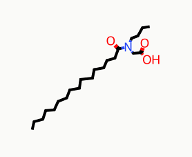 CCCCCCCCCCCCCCCC(=O)N(CCCC)CC(=O)O